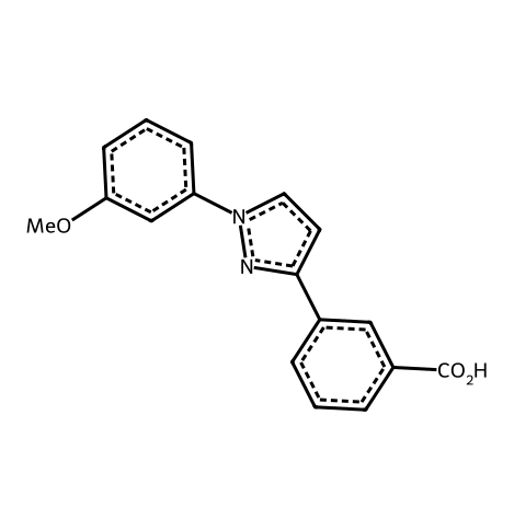 COc1cccc(-n2ccc(-c3cccc(C(=O)O)c3)n2)c1